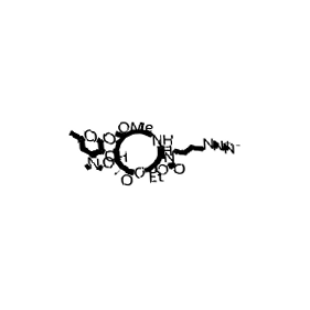 CC[C@H]1OC(=O)[C@H](C)C(=O)C[C@@H](O[C@@H]2OC(C)CC(N(C)C)C2O)[C@](C)(OC)C[C@@H](C)CN[C@H](C)[C@H]2N(CCCCN=[N+]=[N-])C(=O)O[C@]12C